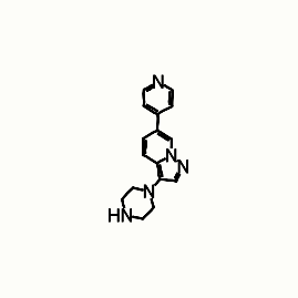 c1cc(-c2ccc3c(N4CCNCC4)cnn3c2)ccn1